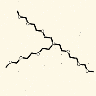 COCOCCOCCN(CCOCCOCOC)CCOCCOCOC